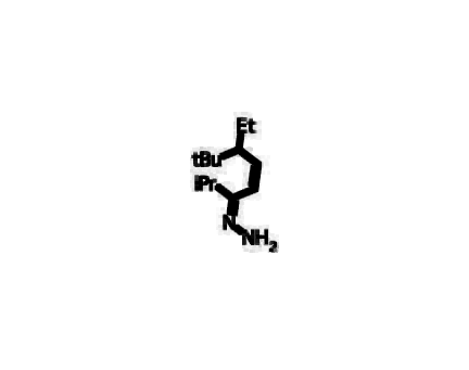 CCC(/C=C\C(=N/N)C(C)C)C(C)(C)C